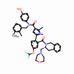 COc1cccc(CN(C(=O)c2cc(-c3ccc(OC(F)F)cc3C(=O)N3Cc4ccccc4C[C@H]3CN3CCOCC3)n(C)c2C)c2ccc(O)cc2)c1C